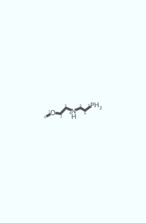 COCCNCCP